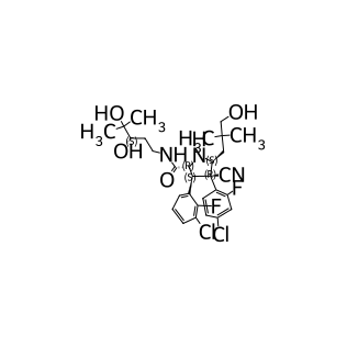 CC(C)(CO)C[C@@H]1N[C@@H](C(=O)NCC[C@H](O)C(C)(C)O)[C@H](c2cccc(Cl)c2F)[C@@]1(C#N)c1ccc(Cl)cc1F